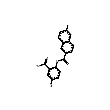 O=C(Nc1ccc(Cl)cc1C(=O)O)c1ccc2cc(Cl)ccc2c1